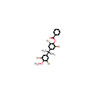 COc1c(Br)cc(C(C)(C)c2cc(Br)c(OC(=O)c3ccccc3)c(Br)c2)cc1Br